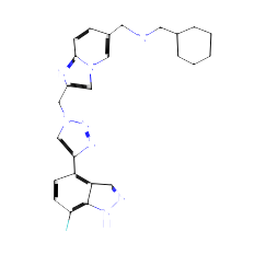 Fc1ccc(-c2cn(Cc3cn4cc(CNCC5CCCCC5)ccc4n3)nn2)c2cn[nH]c12